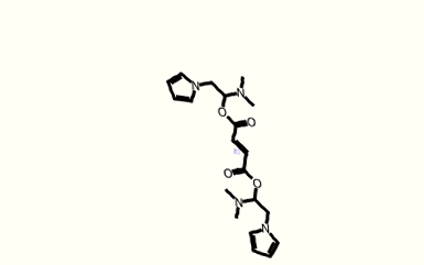 CN(C)C(Cn1cccc1)OC(=O)/C=C/C(=O)OC(Cn1cccc1)N(C)C